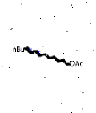 CCCC/C=C/C=C/CCCCCCOC(C)=O